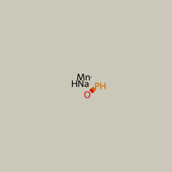 O=P.[Mn].[NaH]